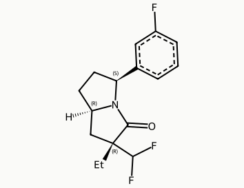 CC[C@@]1(C(F)F)C[C@H]2CC[C@@H](c3cccc(F)c3)N2C1=O